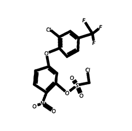 O=[N+]([O-])c1ccc(Oc2ccc(C(F)(F)F)cc2Cl)cc1OS(=O)(=O)CCl